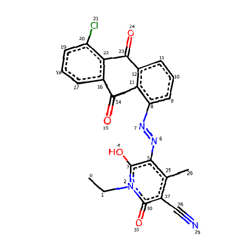 CCn1c(O)c(/N=N/c2cccc3c2C(=O)c2cccc(Cl)c2C3=O)c(C)c(C#N)c1=O